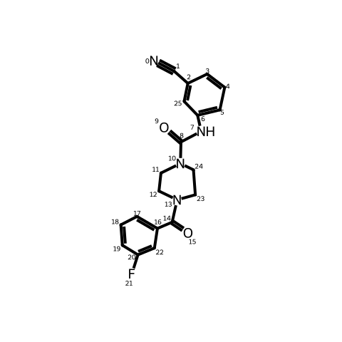 N#Cc1cccc(NC(=O)N2CCN(C(=O)c3cccc(F)c3)CC2)c1